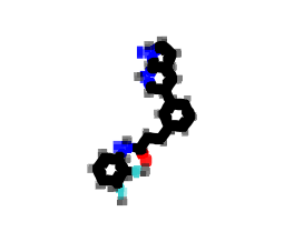 O=C(C=Cc1cccc(-c2cnc3[nH]ccc3c2)c1)Nc1cccc(F)c1F